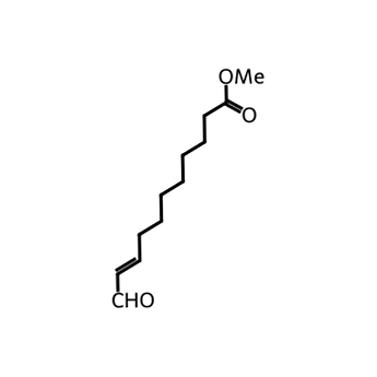 COC(=O)CCCCCCC/C=C/C=O